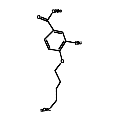 CCCCCCCCCCCCCCOc1ccc(C(=O)OC)cc1C(C)(C)C